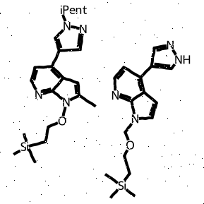 CCCC(C)n1cc(-c2ccnc3c2cc(C)n3OCC[Si](C)(C)C)cn1.C[Si](C)(C)CCOCn1ccc2c(-c3cn[nH]c3)ccnc21